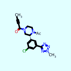 CC#CC(=O)N1CCN(C(C)=O)[C@H](c2cc(Cl)cc(-c3nnn(C)n3)c2)C1